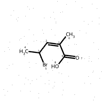 CC(=CC(C)Br)C(=O)O